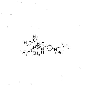 C=C(Nc1cn(C=C(C)C)c(C(=C)C)n1)c1ccc(N(CCC)CCN)cc1